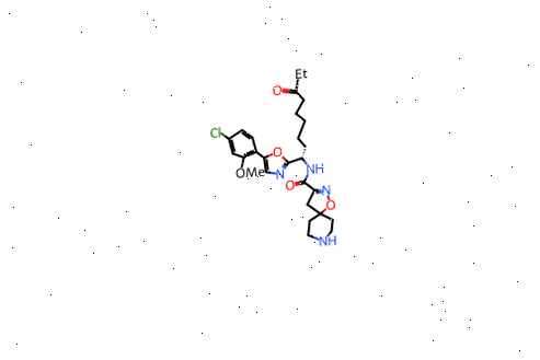 CCC(=O)CCCCC[C@H](NC(=O)C1=NOC2(CCNCC2)C1)c1ncc(-c2ccc(Cl)cc2OC)o1